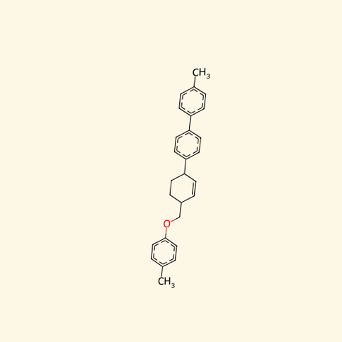 Cc1ccc(OCC2C=CC(c3ccc(-c4ccc(C)cc4)cc3)CC2)cc1